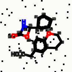 O=C(O)Cc1ccc2c(c1)CCCO2.O=C1NC(c2ccccc2)O1